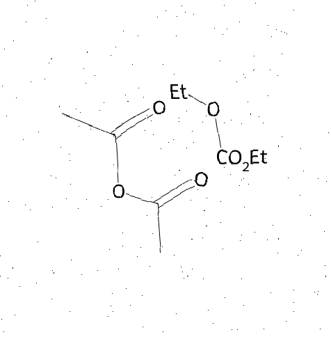 CC(=O)OC(C)=O.CCOC(=O)OCC